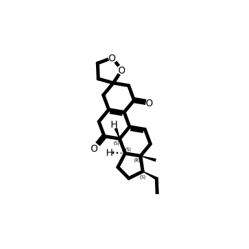 CC[C@H]1CC[C@H]2[C@@H]3C(=O)CC4=C(C(=O)CC5(CCOO5)C4)C3=CC[C@]12C